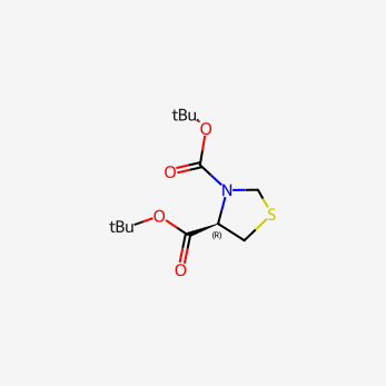 CC(C)(C)OC(=O)[C@@H]1CSCN1C(=O)OC(C)(C)C